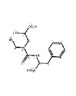 CCOC(=O)C(Cc1ccccc1)NC(=O)N(CC(C)C)CC(O)C(=O)O